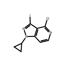 Clc1nccc2c1c(I)nn2C1CC1